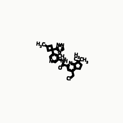 CC1CC(c2cncc(NC(=O)c3cc(CCl)c4c(n3)C(C)(C)CC4)c2)(c2nncn2C)C1